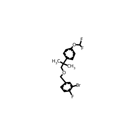 CC(C)(COCc1ccc(F)c(Br)c1)c1ccc(OC(F)F)cc1